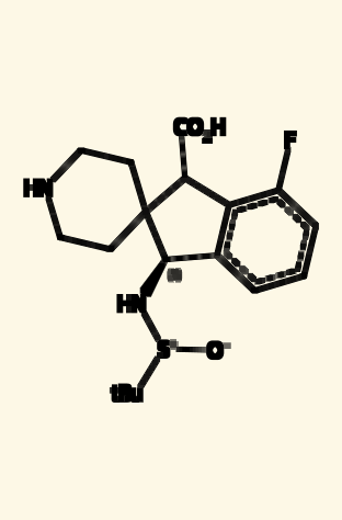 CC(C)(C)[S+]([O-])N[C@@H]1c2cccc(F)c2C(C(=O)O)C12CCNCC2